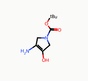 CC(C)(C)OC(=O)N1CC(N)=C(O)C1